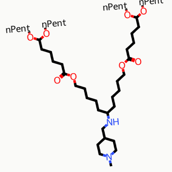 CCCCCOC(CCCCC(=O)OCCCCCC(CCCCCOC(=O)CCCCC(OCCCCC)OCCCCC)NCC1CCN(C)CC1)OCCCCC